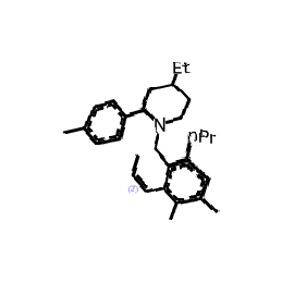 C/C=C\c1c(C)c(C)cc(CCC)c1CN1CCC(CC)CC1c1ccc(C)cc1